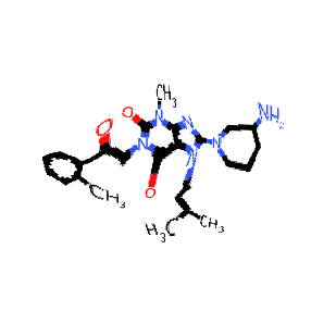 CC(C)=CCn1c(N2CCCC(N)C2)nc2c1c(=O)n(CC(=O)c1ccccc1C)c(=O)n2C